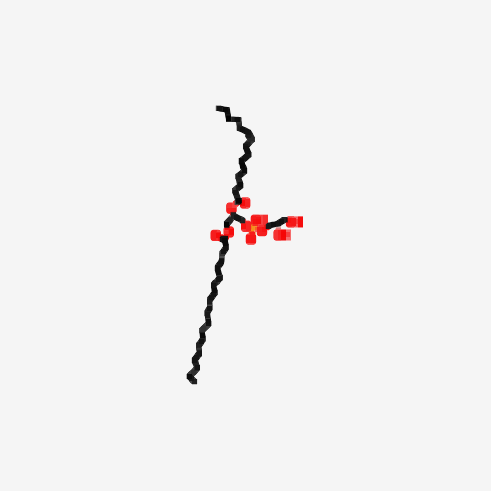 CCCCC/C=C\CCCCCCCC(=O)O[C@H](COC(=O)CCCCCCCCCCCCCCCCCCC)COP(=O)(O)OC[C@@H](O)CO